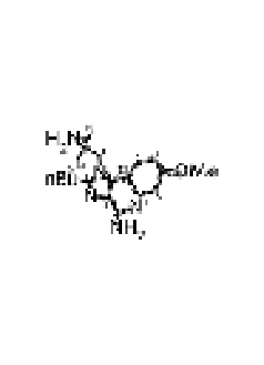 CCCCc1nc2c(N)nc3cc(OC)ccc3c2n1CC(C)(C)N